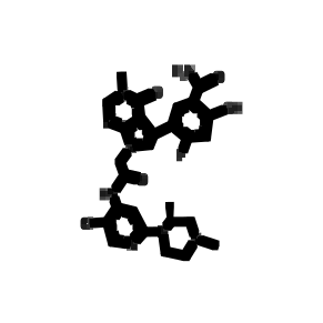 C[C@H]1CN(C)CCN1c1cc(NC(=O)Cn2cc(-c3cc(C(N)=O)c(O)cc3F)c3c(=O)n(C)cnc32)c(Cl)cn1